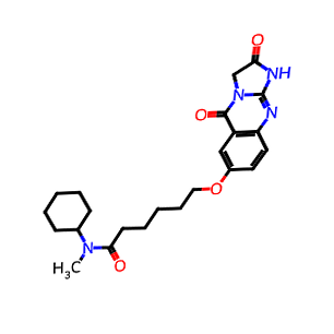 CN(C(=O)CCCCCOc1ccc2nc3n(c(=O)c2c1)CC(=O)N3)C1CCCCC1